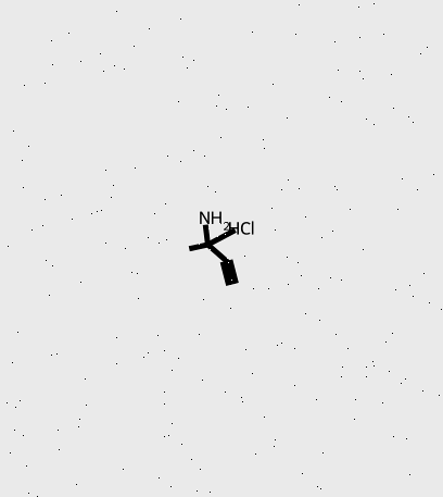 C#CC(C)(C)N.Cl